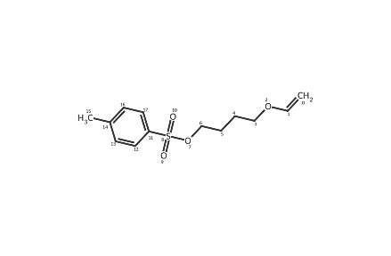 C=COCCCCOS(=O)(=O)c1ccc(C)cc1